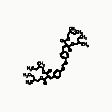 CCC(C)COC(=O)C(=Cc1ccc(OCOc2ccc(C=C(C(=O)OCC(C)CC)C(=O)OCC(C)CC)cc2)cc1)C(=O)OCC(C)CC